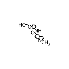 C#CCOc1cccc(NC(=O)c2ccc3nc(C)ccc3c2)c1